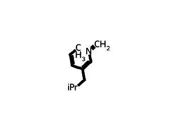 C=N/C=C(\C=C/C)CC(C)C